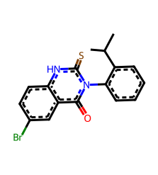 CC(C)c1ccccc1-n1c(=S)[nH]c2ccc(Br)cc2c1=O